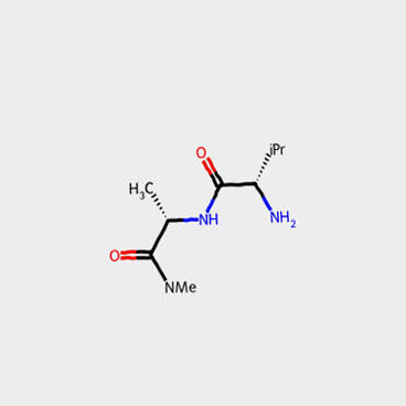 CNC(=O)[C@H](C)NC(=O)[C@@H](N)C(C)C